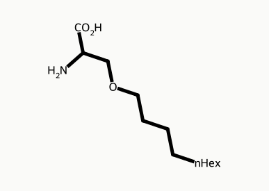 CCCCCCCCCCOCC(N)C(=O)O